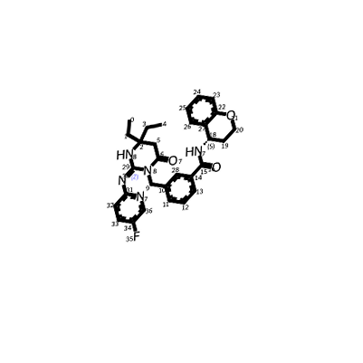 CCC1(CC)CC(=O)N(Cc2cccc(C(=O)N[C@H]3CCOc4ccccc43)c2)/C(=N\c2ccc(F)cn2)N1